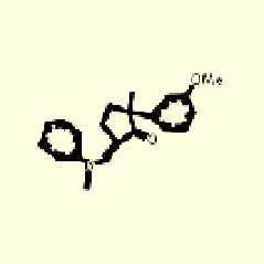 COc1cccc(C2(C)CCC(=CN(C)c3ccccc3)C2=O)c1